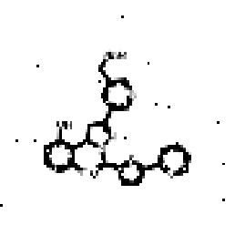 CNCc1cncc(C2=NN(C(=O)c3ccc(-c4ccccn4)s3)C(c3c(O)cccc3F)C2)c1